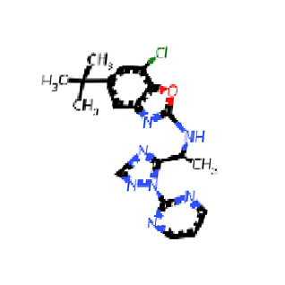 C[C@H](Nc1nc2cc(C(C)(C)C)cc(Cl)c2o1)c1ncnn1-c1ncccn1